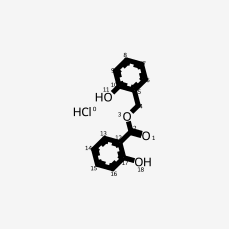 Cl.O=C(OCc1ccccc1O)c1ccccc1O